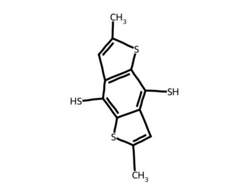 Cc1cc2c(S)c3sc(C)cc3c(S)c2s1